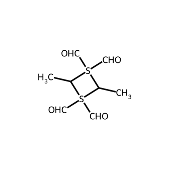 CC1S(C=O)(C=O)C(C)S1(C=O)C=O